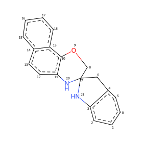 c1ccc2c(c1)CC1(COc3c(ccc4ccccc34)N1)N2